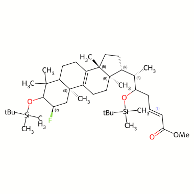 COC(=O)/C=C/CC(O[Si](C)(C)C(C)(C)C)[C@@H](C)[C@H]1CC[C@@]2(C)C3=C(CC[C@]12C)[C@@]1(C)C[C@@H](F)C(O[Si](C)(C)C(C)(C)C)C(C)(C)C1CC3